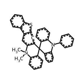 C[Si]1(C)c2ccccc2C2(c3ccccc3N(c3ccccc3)c3ccccc32)c2cc3sc4ccccc4c3cc21